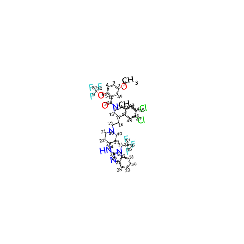 COc1ccc(OC(F)(F)F)c(C(=O)N(C)CC(CCN2CCC(Nc3nc4ccccc4n3CC(F)(F)F)CC2)c2ccc(Cl)c(Cl)c2)c1